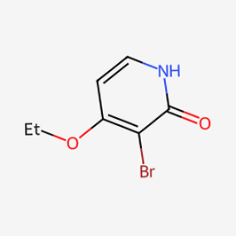 CCOc1cc[nH]c(=O)c1Br